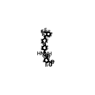 N=C(NS(=O)(=O)c1ccc(F)c([N+](=O)[O-])c1)c1ccc(N2CCC(=Cc3ccccc3C(F)(F)F)CC2)cc1